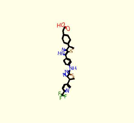 O=C(O)CC1CCC(C2CSc3c2n[nH]c3-c2ccc(NC3N4N=C5C(c6ccc(C(F)(F)F)nc6)CSC534)cc2)CC1